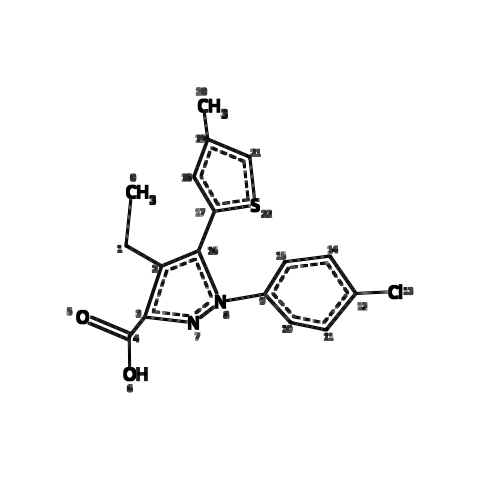 CCc1c(C(=O)O)nn(-c2ccc(Cl)cc2)c1-c1cc(C)cs1